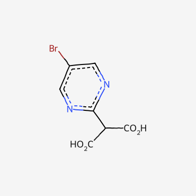 O=C(O)C(C(=O)O)c1ncc(Br)cn1